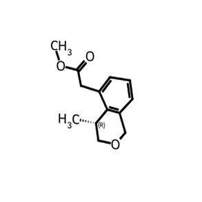 COC(=O)Cc1cccc2c1[C@@H](C)COC2